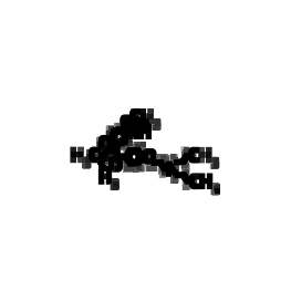 CCCCN(CCCC)CCCOc1ccc(C(=O)c2c(C(C)C)oc3ccc(NS(C)(=O)=O)cc23)cc1